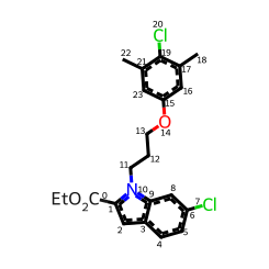 CCOC(=O)c1cc2ccc(Cl)cc2n1CCCOc1cc(C)c(Cl)c(C)c1